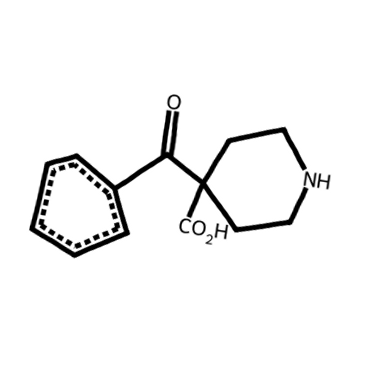 O=C(O)C1(C(=O)c2ccccc2)CCNCC1